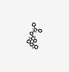 c1ccc(-c2cc(-c3ccccc3)nc(-c3cccc(-c4nc5cccc(-c6cccc7sc8ccccc8c67)c5c5c4sc4ccccc45)c3)n2)cc1